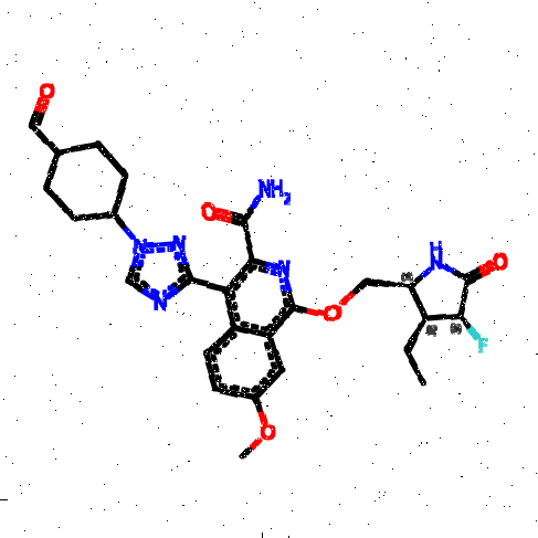 CC[C@@H]1[C@H](F)C(=O)N[C@@H]1COc1nc(C(N)=O)c(-c2ncn(C3CCC(C=O)CC3)n2)c2ccc(OC)cc12